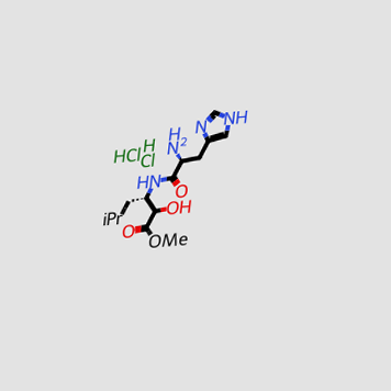 COC(=O)C(O)[C@H](CC(C)C)NC(=O)[C@@H](N)Cc1c[nH]cn1.Cl.Cl